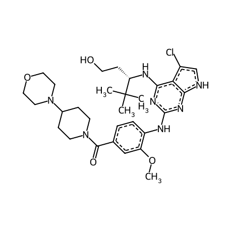 COc1cc(C(=O)N2CCC(N3CCOCC3)CC2)ccc1Nc1nc(N[C@@H](CCO)C(C)(C)C)c2c(Cl)c[nH]c2n1